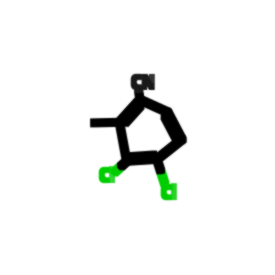 Cc1c(C#N)ccc(Cl)c1Cl